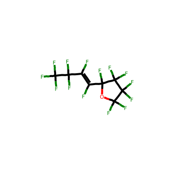 FC(=C(F)C1(F)OC(F)(F)C(F)(F)C1(F)F)C(F)(F)C(F)(F)F